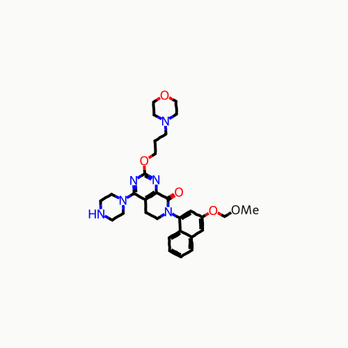 COCOc1cc(N2CCc3c(nc(OCCCN4CCOCC4)nc3N3CCNCC3)C2=O)c2ccccc2c1